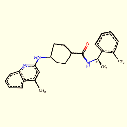 Cc1cc(NC2CCC(C(=O)N[C@H](C)c3ccccc3C(F)(F)F)CC2)nc2ccccc12